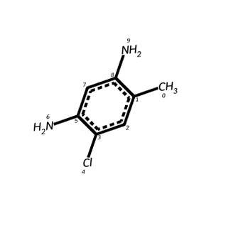 Cc1cc(Cl)c(N)cc1N